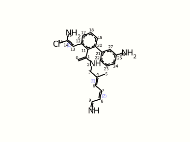 C=C(NC/C(C)=C/C=C\C=N)c1c(/C=C(\N)Cl)cccc1-c1cccc(N)c1